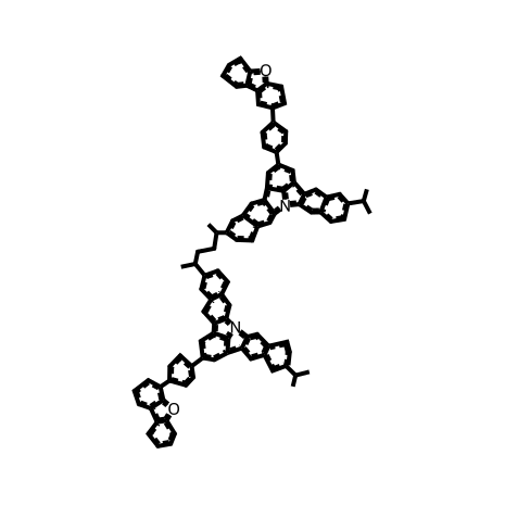 CC(C)c1ccc2cc3c(cc2c1)c1cc(-c2ccc(-c4ccc5oc6ccccc6c5c4)cc2)cc2c4cc5cc(C(C)CCC(C)c6ccc7cc8c(cc7c6)c6cc(-c7ccc(-c9cccc%10c9oc9ccccc9%10)cc7)cc7c9cc%10cc(C(C)C)ccc%10cc9n8c76)ccc5cc4n3c12